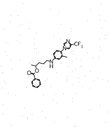 Cc1cc(NCCCC(C)OC(=O)c2ccccc2)ccc1-n1cnc(C(F)(F)F)c1